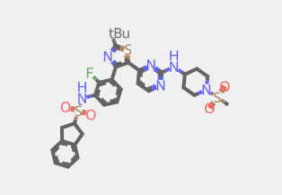 CC(C)(C)c1nc(-c2cccc(NS(=O)(=O)C3Cc4ccccc4C3)c2F)c(-c2ccnc(NC3CCN(S(C)(=O)=O)CC3)n2)s1